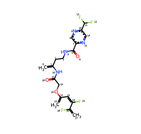 C=C(CCNC(=O)c1cnc(C(F)F)cn1)NC(=O)COC(=C)/C=C(/F)C(=C)F